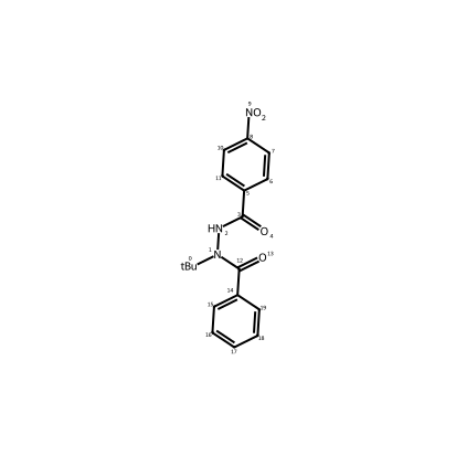 CC(C)(C)N(NC(=O)c1ccc([N+](=O)[O-])cc1)C(=O)c1ccccc1